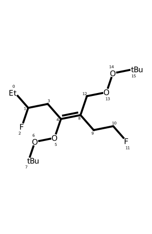 CCC(F)C/C(OOC(C)(C)C)=C(/CCF)COOC(C)(C)C